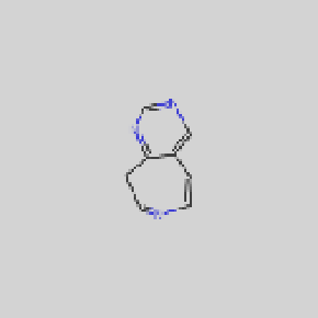 C1=Cc2cncnc2CC=N1